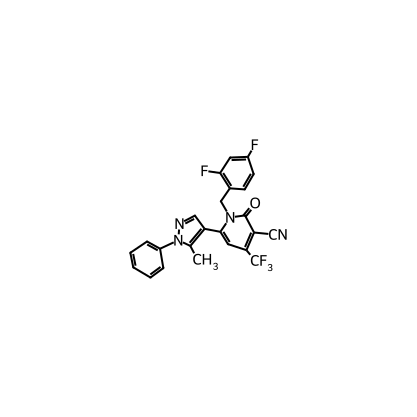 Cc1c(-c2cc(C(F)(F)F)c(C#N)c(=O)n2Cc2ccc(F)cc2F)cnn1-c1ccccc1